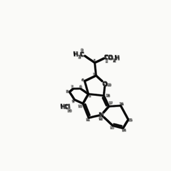 CC(C(=O)O)C1CC23CCCCC2=CN2C=CCCC2=C3O1.Cl